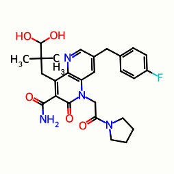 CC(C)(Cc1c(C(N)=O)c(=O)n(CC(=O)N2CCCC2)c2cc(Cc3ccc(F)cc3)cnc12)C(O)O